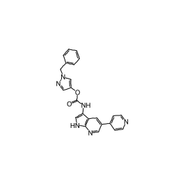 O=C(Nc1c[nH]c2ncc(-c3ccncc3)cc12)Oc1cnn(Cc2ccccc2)c1